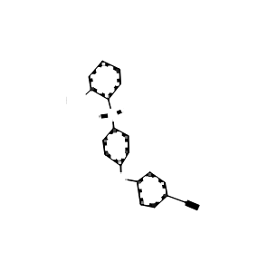 C#Cc1ccc(Oc2ccc(S(=O)(=O)c3ccccc3O)cc2)cc1